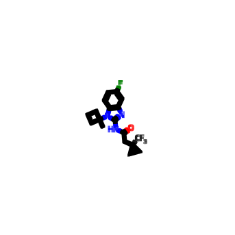 CC1(n2c(NC(=O)CC3(C(F)(F)F)CC3)nc3cc(F)ccc32)CCC1